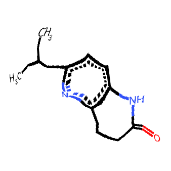 CC(C)c1ccc2c(n1)CCC(=O)N2